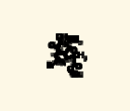 CN(C(=O)OC(C)(C)C)c1nc(Br)cc(C(=O)CO)c1C(=O)NN